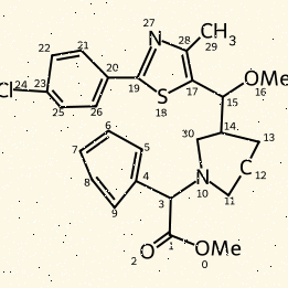 COC(=O)C(c1ccccc1)N1CCCC(C(OC)c2sc(-c3ccc(Cl)cc3)nc2C)C1